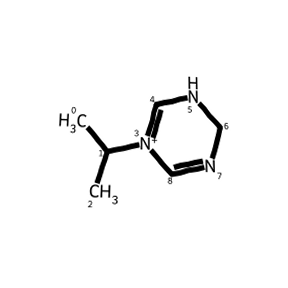 CC(C)[N+]1=CNCN=C1